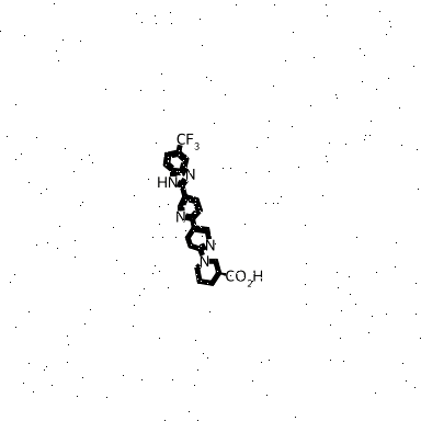 O=C(O)[C@H]1CCCN(C2=NC=C(c3ccc(-c4nc5cc(C(F)(F)F)ccc5[nH]4)cn3)CC2)C1